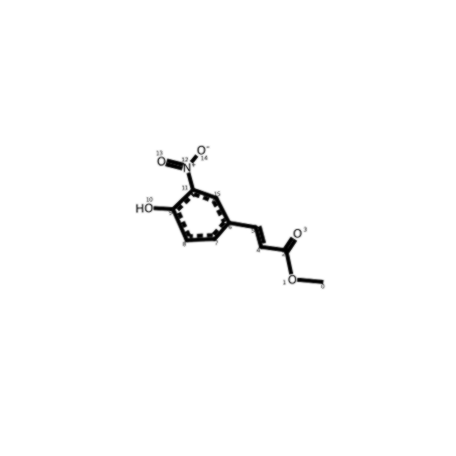 COC(=O)/C=C/c1ccc(O)c([N+](=O)[O-])c1